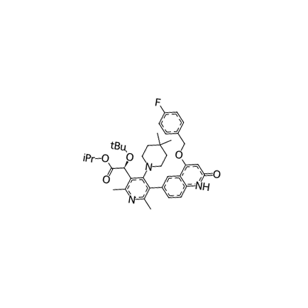 Cc1nc(C)c([C@H](OC(C)(C)C)C(=O)OC(C)C)c(N2CCC(C)(C)CC2)c1-c1ccc2[nH]c(=O)cc(OCc3ccc(F)cc3)c2c1